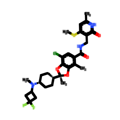 CSc1cc(C)[nH]c(=O)c1CNC(=O)c1cc(Cl)c2c(c1C)O[C@@](C)([C@H]1CC[C@@H](N(C)C3CC(F)(F)C3)CC1)O2